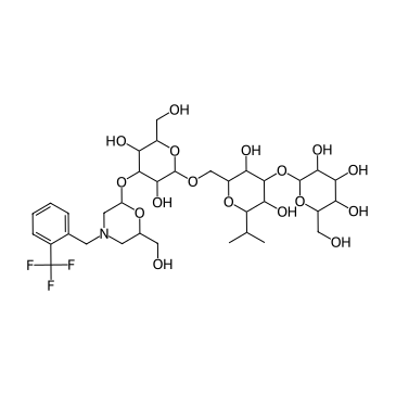 CC(C)C1OC(COC2OC(CO)C(O)C(OC3CN(Cc4ccccc4C(F)(F)F)CC(CO)O3)C2O)C(O)C(OC2OC(CO)C(O)C(O)C2O)C1O